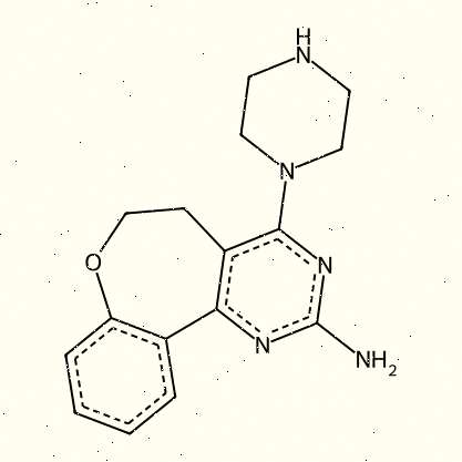 Nc1nc2c(c(N3CCNCC3)n1)CCOc1ccccc1-2